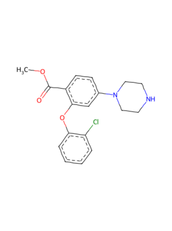 COC(=O)c1ccc(N2CCNCC2)cc1Oc1ccccc1Cl